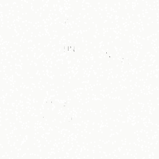 CC(=O)N1CCC(=O)Nc2cc(B3OC(C)(C)C(C)(C)O3)ccc21